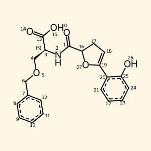 O=C(N[C@@H](COCc1ccccc1)C(=O)O)C1CC=C(c2ccccc2O)O1